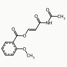 COc1ccccc1C(=O)OC=CC(=O)NC(C)=O